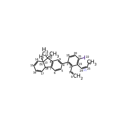 C=Cc1c(-c2ccc3c(c2)C(C)(C)[C@H]2C=CC=CC32)ccc(I)c1/C=C\C